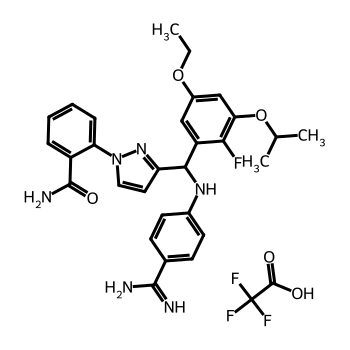 CCOc1cc(OC(C)C)c(F)c(C(Nc2ccc(C(=N)N)cc2)c2ccn(-c3ccccc3C(N)=O)n2)c1.O=C(O)C(F)(F)F